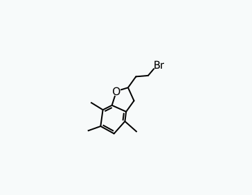 Cc1cc(C)c2c(c1C)OC(CCBr)C2